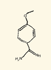 COc1[c]cc(C(=N)N)cc1